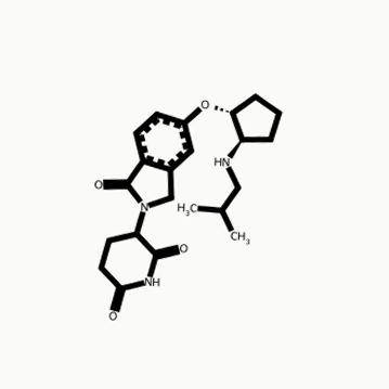 CC(C)CN[C@@H]1CCC[C@H]1Oc1ccc2c(c1)CN(C1CCC(=O)NC1=O)C2=O